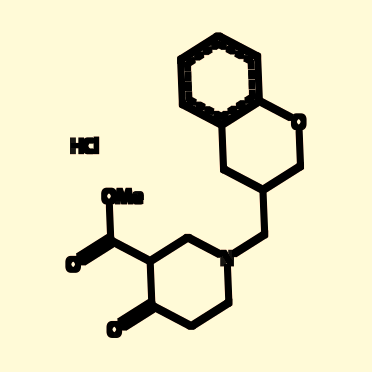 COC(=O)C1CN(CC2COc3ccccc3C2)CCC1=O.Cl